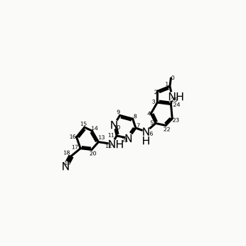 Cc1cc2cc(Nc3ccnc(Nc4cccc(C#N)c4)n3)ccc2[nH]1